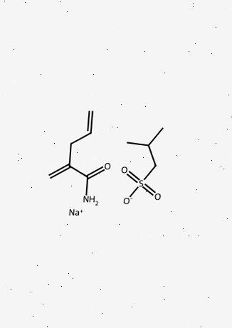 C=CCC(=C)C(N)=O.CC(C)CS(=O)(=O)[O-].[Na+]